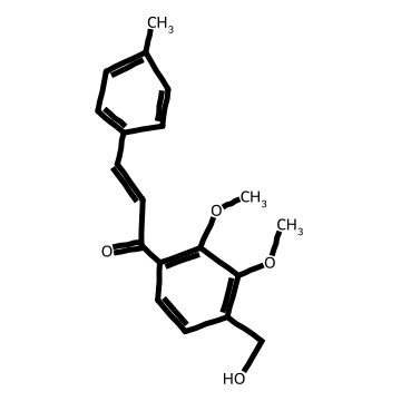 COc1c(CO)ccc(C(=O)/C=C/c2ccc(C)cc2)c1OC